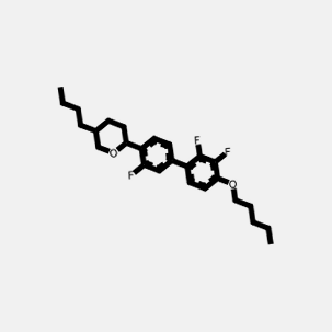 CCCCCOc1ccc(-c2ccc(C3CCC(CCCC)CO3)c(F)c2)c(F)c1F